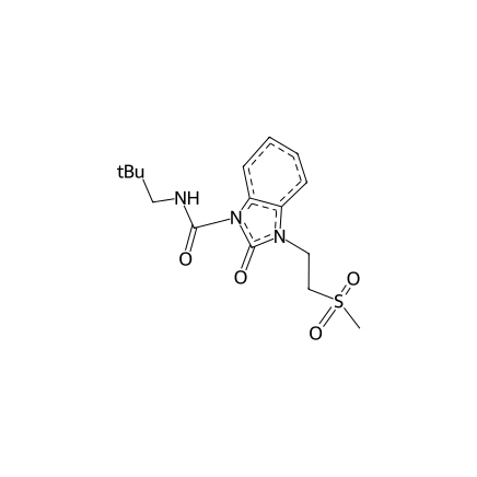 CC(C)(C)CNC(=O)n1c(=O)n(CCS(C)(=O)=O)c2ccccc21